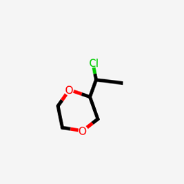 CC(Cl)C1COCCO1